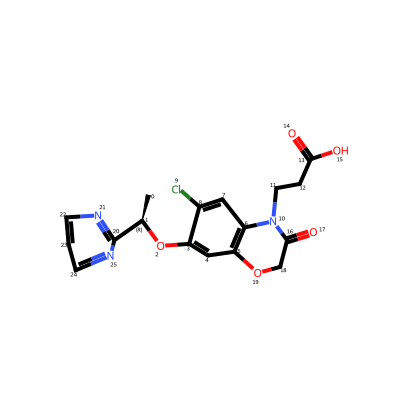 C[C@@H](Oc1cc2c(cc1Cl)N(CCC(=O)O)C(=O)CO2)c1ncccn1